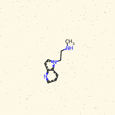 CNCCn1ccc2ncccc21